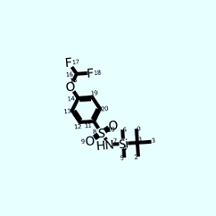 CC(C)(C)[Si](C)(C)NS(=O)(=O)c1ccc(OC(F)F)cc1